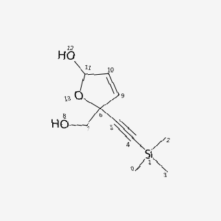 C[Si](C)(C)C#CC1(CO)C=CC(O)O1